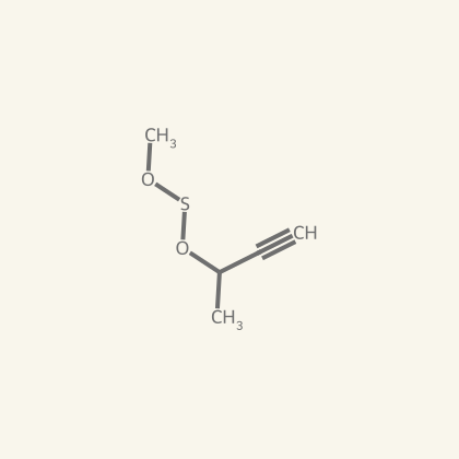 C#CC(C)OSOC